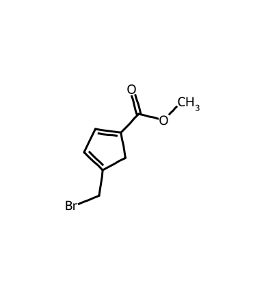 COC(=O)C1=CC=C(CBr)C1